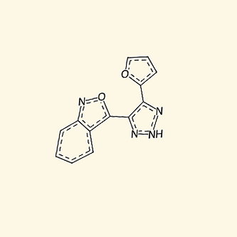 c1coc(-c2n[nH]nc2-c2onc3ccccc23)c1